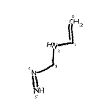 C=CNCN=N